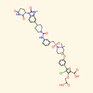 Cn1c(=O)n(C2CCC(=O)NC2=O)c2ccc(C3CCN(C(=O)Nc4cccc(CS(=O)(=O)N5CC[C@H](Oc6cccc(-c7sc(C(=O)O)c(OCC(=O)O)c7Cl)c6)CC5(C)C)c4)CC3)cc21